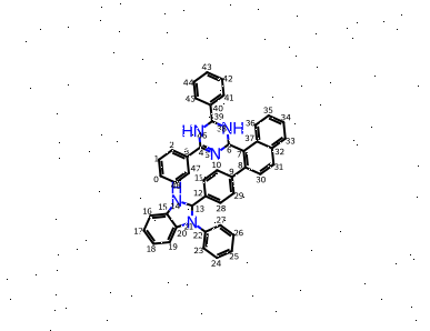 c1ccc(C2=NC(c3c(-c4ccc(C5Nc6ccccc6N5c5ccccc5)cc4)ccc4ccccc34)NC(c3ccccc3)N2)cc1